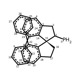 PC1Cc2cccc(-c3ccccc3)c2[C@]12CCc1cccc(-c3ccccc3)c12